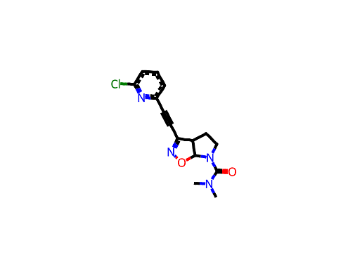 CN(C)C(=O)N1CCC2C(C#Cc3cccc(Cl)n3)=NOC21